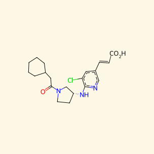 O=C(O)C=Cc1cnc(N[C@@H]2CCN(C(=O)CC3CCCCC3)C2)c(Cl)c1